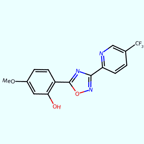 COc1ccc(-c2nc(-c3ccc(C(F)(F)F)cn3)no2)c(O)c1